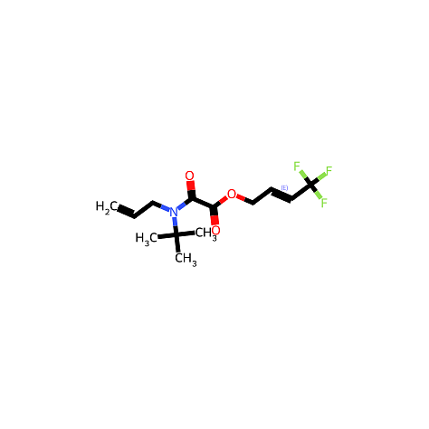 C=CCN(C(=O)C(=O)OC/C=C/C(F)(F)F)C(C)(C)C